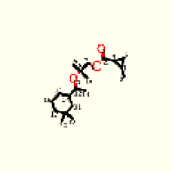 CC1CC1C(=O)OCC(C)(C)OC(C)C1CCCC(C)(C)C1